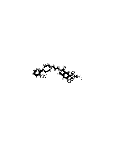 N#Cc1cccnc1N1CCN(CCCN2Cc3cc(Cl)c(S(N)(=O)=O)cc3C2=O)CC1